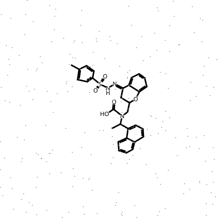 Cc1ccc(S(=O)(=O)N/N=C2\CC(CN(C(=O)O)C(C)c3cccc4ccccc34)Oc3ccccc32)cc1